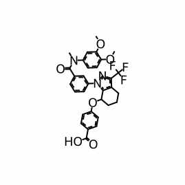 COc1ccc(N(C)C(=O)c2cccc(-n3nc(C(F)(F)F)c4c3C(Oc3ccc(C(=O)O)cc3)CCC4)c2)cc1OC